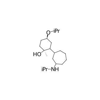 CC(C)NC1CCCCC(C2C[C@H](OC(C)C)CC[C@]2(C)O)C1